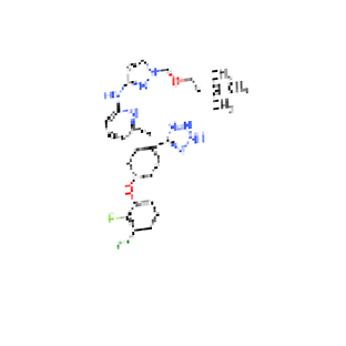 C[Si](C)(C)CCOCn1ccc(Nc2cccc(C[C@]3(c4nn[nH]n4)CC[C@H](Oc4cccc(Cl)c4F)CC3)n2)n1